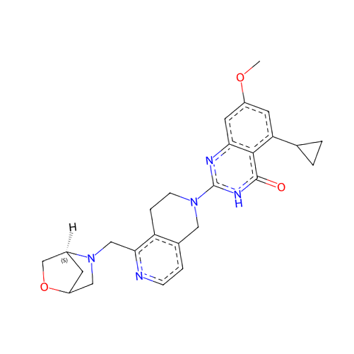 COc1cc(C2CC2)c2c(=O)[nH]c(N3CCc4c(ccnc4CN4CC5C[C@H]4CO5)C3)nc2c1